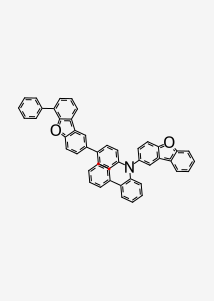 c1ccc(-c2ccccc2N(c2ccc(-c3ccc4oc5c(-c6ccccc6)cccc5c4c3)cc2)c2ccc3oc4ccccc4c3c2)cc1